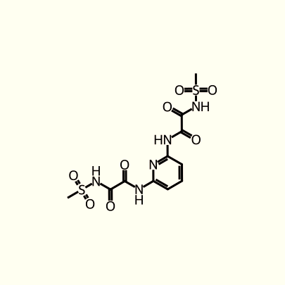 CS(=O)(=O)NC(=O)C(=O)Nc1cccc(NC(=O)C(=O)NS(C)(=O)=O)n1